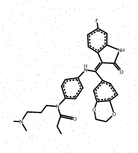 CCC(=O)N(CCCN(C)C)c1ccc(NC(=C2C(=O)Nc3cc(F)ccc32)c2ccc3c(c2)OCCO3)cc1